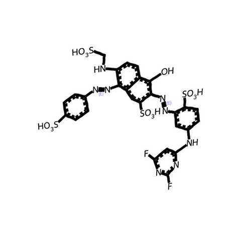 O=S(=O)(O)CNc1ccc2c(O)c(/N=N/c3cc(Nc4cc(F)nc(F)n4)ccc3S(=O)(=O)O)c(S(=O)(=O)O)cc2c1/N=N/c1ccc(S(=O)(=O)O)cc1